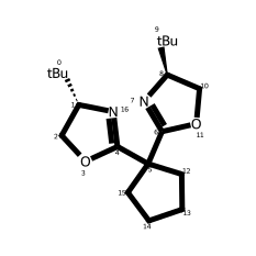 CC(C)(C)[C@H]1COC(C2(C3=N[C@@H](C(C)(C)C)CO3)CCCC2)=N1